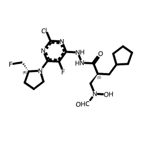 O=CN(O)C[C@H](CC1CCCC1)C(=O)NNc1nc(Cl)nc(N2CCC[C@@H]2CF)c1F